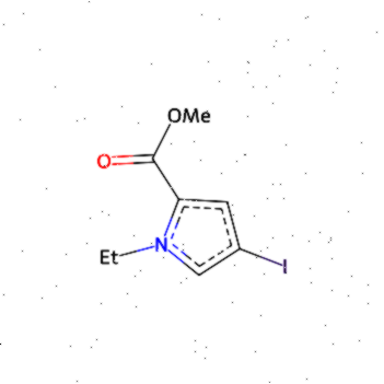 CCn1cc(I)cc1C(=O)OC